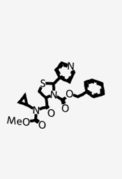 COC(=O)N(C(=O)C1CSC(c2ccncc2)N1C(=O)OCc1ccccc1)C1CC1